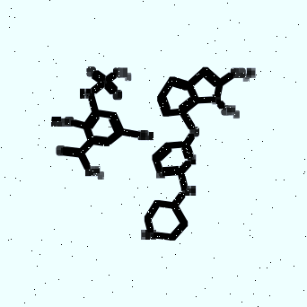 COc1c(NS(C)(=O)=O)cc(C(C)(C)C)cc1C(N)=O.Cn1c(C(=O)O)cc2cccc(Oc3ccnc(NC4CCNCC4)n3)c21